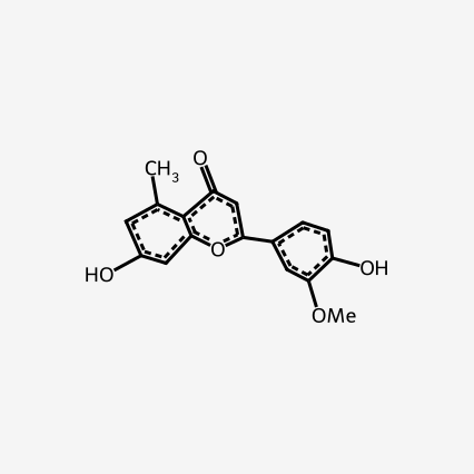 COc1cc(-c2cc(=O)c3c(C)cc(O)cc3o2)ccc1O